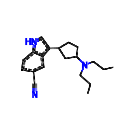 CCCN(CCC)C1CCC(c2c[nH]c3ccc(C#N)cc23)C1